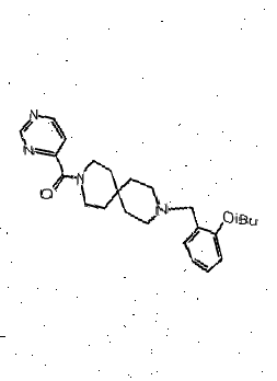 CC(C)COc1ccccc1CN1CCC2(CC1)CCN(C(=O)c1ccncn1)CC2